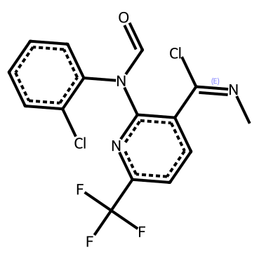 C/N=C(/Cl)c1ccc(C(F)(F)F)nc1N(C=O)c1ccccc1Cl